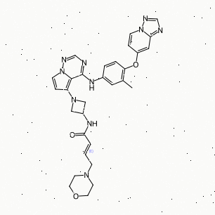 Cc1cc(Nc2ncnn3ccc(N4CC(NC(=O)/C=C/CN5CCOCC5)C4)c23)ccc1Oc1ccn2ncnc2c1